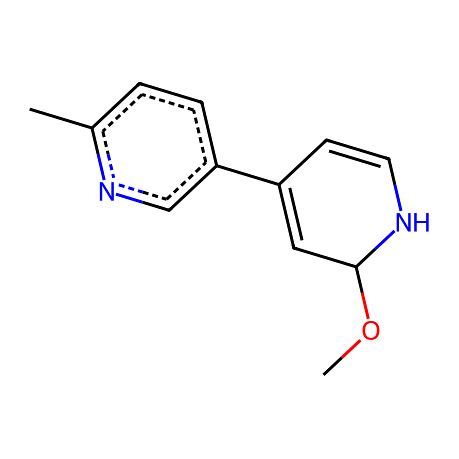 COC1C=C(c2ccc(C)nc2)C=CN1